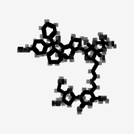 COc1ccc(C(Nc2ncnc3c2ncn3[C@@H]2O[C@H](CCCSCc3cn([C@H]4C[C@H](O)[C@@H](CO)O4)c(=O)nc3N)[C@H]3OC(C)(C)O[C@H]32)(c2ccccc2)c2ccccc2)cc1